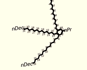 [CH2]CCc1cc(CCCCCCCCCCCCCCCCCCCCCCC)c(CCCCCCCCCCCCCCCCCCCCCCC)c(CCCCCCCCCCCCCCCCCCCCCCC)c1